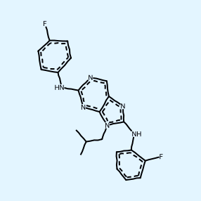 CC(C)Cn1c(Nc2ccccc2F)nc2cnc(Nc3ccc(F)cc3)nc21